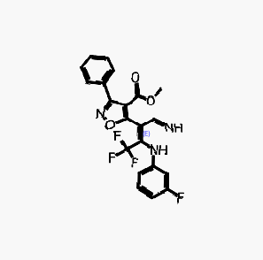 COC(=O)c1c(-c2ccccc2)noc1/C(C=N)=C(/Nc1cccc(F)c1)C(F)(F)F